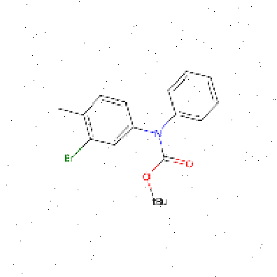 Cc1ccc(N(C(=O)OC(C)(C)C)c2ccccc2)cc1Br